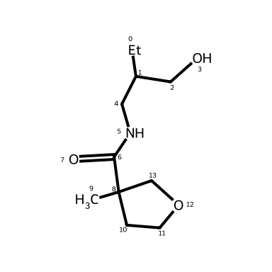 CCC(CO)CNC(=O)C1(C)CCOC1